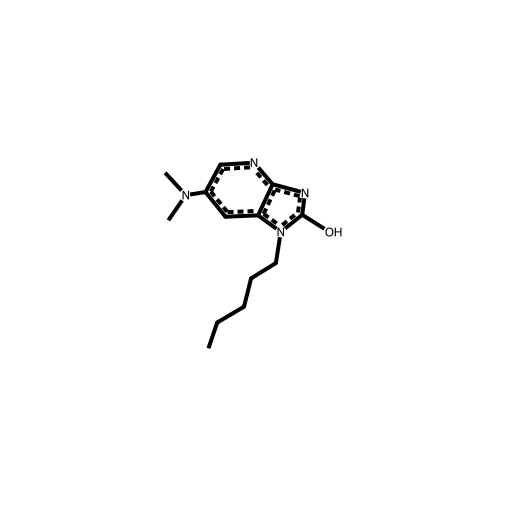 CCCCCn1c(O)nc2ncc(N(C)C)cc21